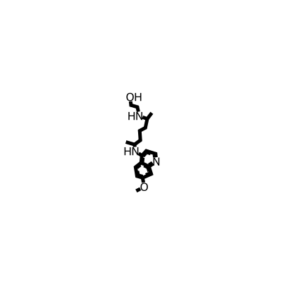 COc1ccc2c(NC(C)CCCC(C)NCCO)ccnc2c1